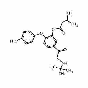 Cc1ccc(Oc2ccc(C(=O)CNC(C)(C)C)cc2OC(=O)CC(C)C)cc1